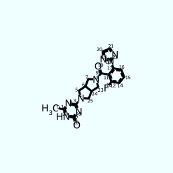 Cc1nc(N2CC3CN(C(=O)c4c(F)cccc4-n4nccn4)CC3C2)nc(=O)[nH]1